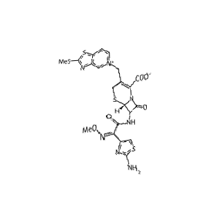 CO/N=C(\C(=O)NC1C(=O)N2C(C(=O)[O-])=C(C[n+]3ccc4sc(SC)nc4c3)CS[C@@H]12)c1csc(N)n1